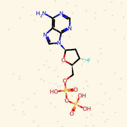 Nc1ncnc2c1ncn2[C@H]1C[C@H](F)[C@@H](COP(=O)(O)OP(=O)(O)O)O1